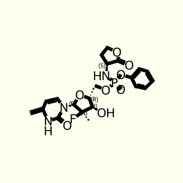 C=C1C=CN([C@@H]2O[C@H](COP(=O)(N[C@H]3CCOC3=O)Oc3ccccc3)[C@@H](O)[C@@]2(C)F)C(=O)N1